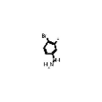 NNc1ccc(Br)c(F)c1